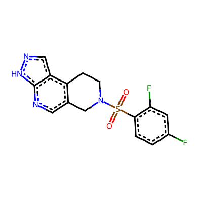 O=S(=O)(c1ccc(F)cc1F)N1CCc2c(cnc3[nH]ncc23)C1